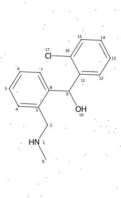 CNCc1ccccc1C(O)c1ccccc1Cl